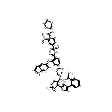 CC(C)c1ccccc1-c1csc(C2=C(CN3CCN(c4ccc(C(=O)NS(=O)(=O)c5ccc(NC[C@H]6COCCO6)c([N+](=O)[O-])c5)c(Oc5cnc6[nH]ccc6c5)c4)CC3)CCC(C)(C)C2)c1